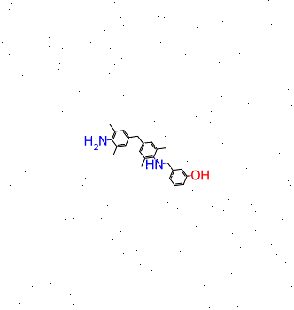 Cc1cc(Cc2cc(C)c(NCc3cccc(O)c3)c(C)c2)cc(C)c1N